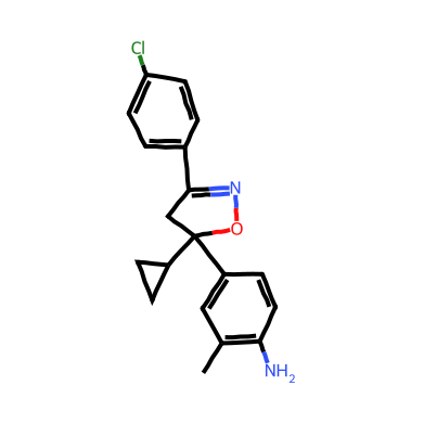 Cc1cc(C2(C3CC3)CC(c3ccc(Cl)cc3)=NO2)ccc1N